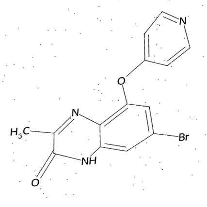 Cc1nc2c(Oc3ccncc3)cc(Br)cc2[nH]c1=O